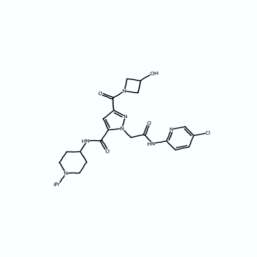 CC(C)N1CCC(NC(=O)c2cc(C(=O)N3CC(O)C3)nn2CC(=O)Nc2ccc(Cl)cn2)CC1